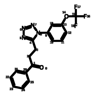 O=C(CCc1nnnn1-c1cccc(OC(F)(F)F)c1)c1ccccc1